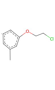 Cc1c[c]cc(OCCCl)c1